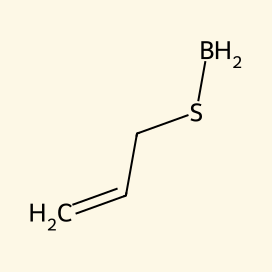 BSCC=C